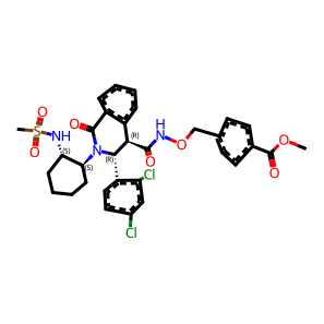 COC(=O)c1ccc(CONC(=O)[C@@H]2c3ccccc3C(=O)N([C@H]3CCCC[C@@H]3NS(C)(=O)=O)[C@H]2c2ccc(Cl)cc2Cl)cc1